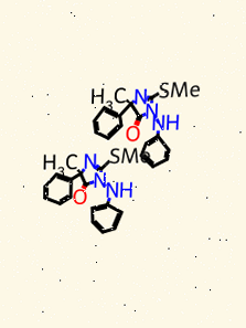 CSC1=N[C@@](C)(c2ccccc2)C(=O)N1Nc1ccccc1.CSC1=N[C@@](C)(c2ccccc2)C(=O)N1Nc1ccccc1